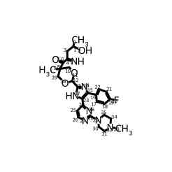 CC(O)CC(=N)C(=O)C1(C)COC(c2nc(-c3ccc(F)cc3)c(-c3ccnc(N4CCN(C)CC4)n3)[nH]2)OC1